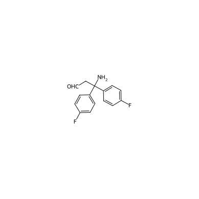 NC(CC=O)(c1ccc(F)cc1)c1ccc(F)cc1